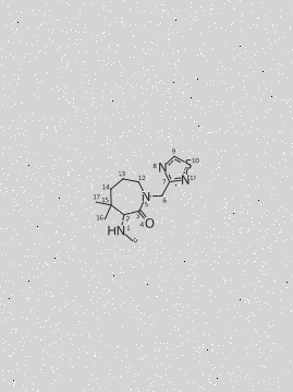 CNC1C(=O)N(Cc2ncsn2)CCCC1(C)C